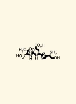 C[C@H](O)[C@H](NC(=O)N[C@@H](CCC(=O)O)c1ncc([C@@H](N)CO)s1)C(=O)O